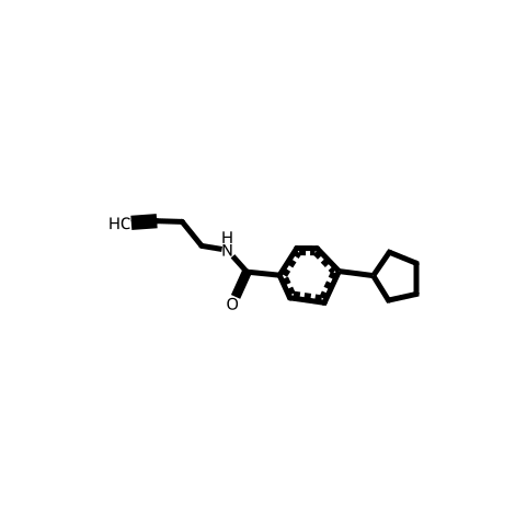 C#CCCNC(=O)c1ccc(C2CCCC2)cc1